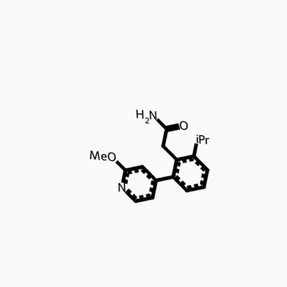 COc1cc(-c2cccc(C(C)C)c2CC(N)=O)ccn1